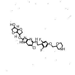 O[C@@H]1CO[C@H]2[C@@H]1OC[C@H]2Oc1nc2nc(NCc3c(F)cc(OCC4CNCCO4)cc3F)c(Cl)cc2[nH]1